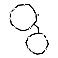 C1COCCOCCOCCOC(CC2COCCOCCOCCO2)CN1